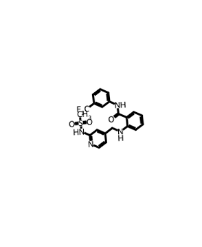 CS(=O)(=O)Nc1cc(CNc2ccccc2C(=O)Nc2cccc(C(F)(F)F)c2)ccn1